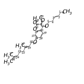 CC/C=C/CCOc1c(OC)c(=O)oc2cc(OC/C=C(\C)CCC=C(C)C)ccc12